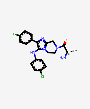 CC(C)[C@H](N)C(=O)N1CCn2c(nc(-c3ccc(F)cc3)c2Nc2ccc(Cl)cc2)C1